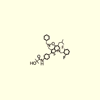 CC(C)Cc1cn(Cc2c(F)cccc2F)c2sc(-c3ccc(NC(=O)C(C)(C)O)cc3)c(CN(C)Cc3ccccc3)c2c1=O